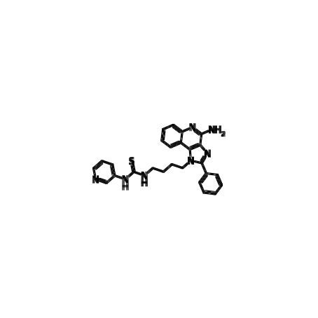 Nc1nc2ccccc2c2c1nc(-c1ccccc1)n2CCCCNC(=S)Nc1cccnc1